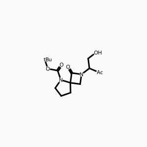 CC(=O)C(CO)N1CC2(CCCN2C(=O)OC(C)(C)C)C1=O